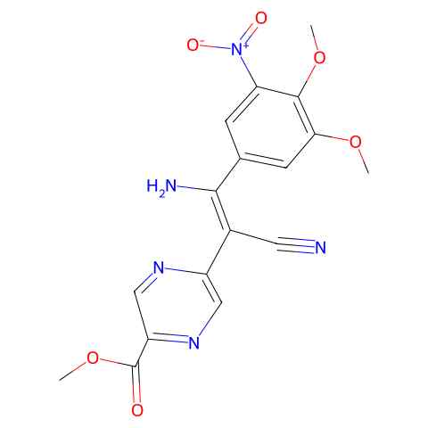 COC(=O)c1cnc(/C(C#N)=C(\N)c2cc(OC)c(OC)c([N+](=O)[O-])c2)cn1